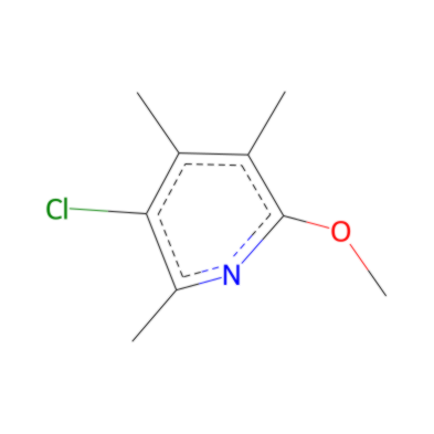 COc1nc(C)c(Cl)c(C)c1C